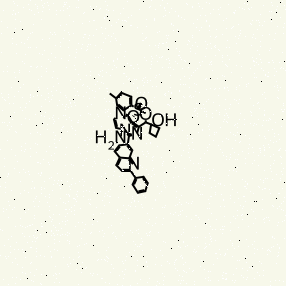 Cc1ccc(S(=O)(=O)OC(C2=C3C=NC=C[N+]3(N)C(c3ccc4ccc(-c5ccccc5)nc4c3)=N2)C2(O)CCC2)cc1